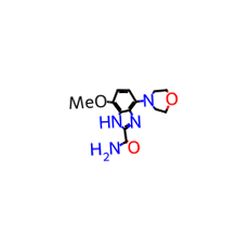 COc1ccc(N2CCOCC2)c2nc(C(N)=O)[nH]c12